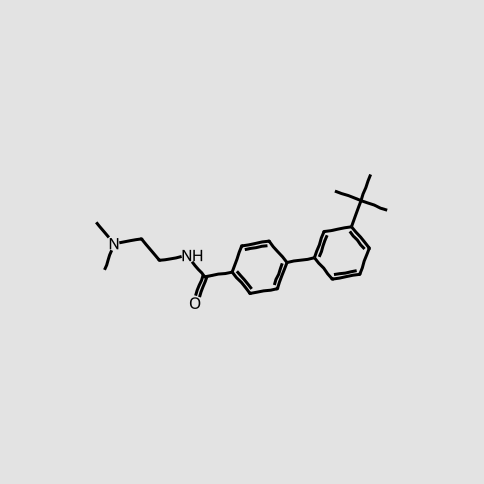 CN(C)CCNC(=O)c1ccc(-c2cccc(C(C)(C)C)c2)cc1